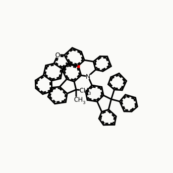 CC1(C)c2ccccc2-c2cccc(N(c3ccc4c(c3)C(c3ccccc3)(c3ccccc3)c3ccccc3-4)c3ccccc3-c3ccc4oc5cc6ccccc6cc5c4c3)c21